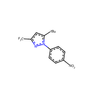 CC(C)(C)c1cc(C(F)(F)F)nn1-c1ccc([N+](=O)[O-])cc1